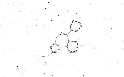 CC(=O)NCc1cc2n(n1)-c1ccc([N+](=O)[O-])cc1C(c1ccccc1)=NC2